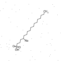 CCCCCCCCCCCCC[CH]([Na])CCCS(=O)(=O)O